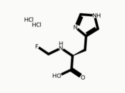 Cl.Cl.O=C(O)[C@H](Cc1c[nH]cn1)NCF